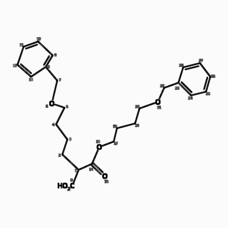 O=C(O)C(CCCCOCc1ccccc1)C(=O)OCCCCOCc1ccccc1